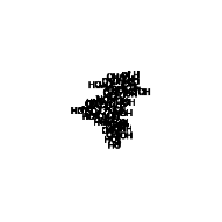 CC(=O)N[C@H]1[C@H](O[C@H]2[C@@H](O)[C@@H](CO[C@]3(C(=O)O)C[C@H](O)[C@@H](NC(C)=O)[C@H]([C@H](O)[C@H](O)CO)O3)O[C@@H](O[C@H]3[C@H](O)[C@@H](O)C(O)O[C@@H]3CO)[C@@H]2O)O[C@H](CO)[C@@H](O)[C@@H]1O[C@@H]1O[C@H](CO[C@]2(C(=O)O)C[C@H](O)[C@@H](NC(C)=O)[C@H]([C@H](O)[C@H](O)CO)O2)[C@H](O)[C@H](O[C@]2(C(=O)O)C[C@H](O)[C@@H](NC(C)=O)[C@H]([C@H](O)[C@H](O)CO)O2)[C@H]1O